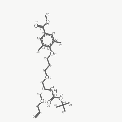 C=CCOC[C@H](COCCCOc1c(C)cc(C(=O)OC)cc1C)NC(=O)OC(C)(C)C